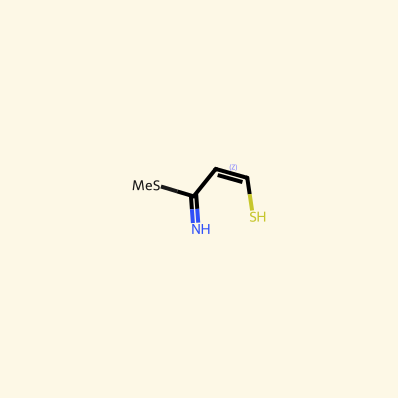 CSC(=N)/C=C\S